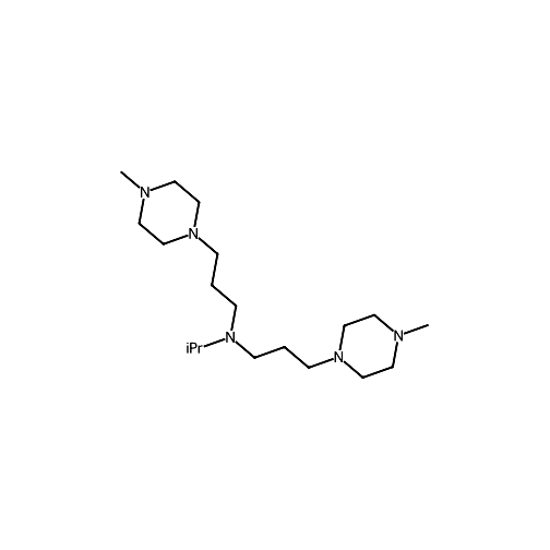 CC(C)N(CCCN1CCN(C)CC1)CCCN1CCN(C)CC1